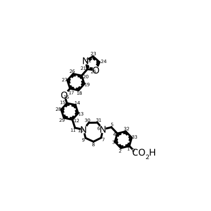 O=C(O)c1ccc(CN2CCCN(Cc3ccc(Oc4ccc(-c5ncco5)cc4)cc3)CC2)cc1